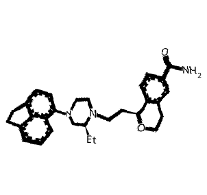 CC[C@H]1CN(c2ccc3c4c(cccc24)CC3)CCN1CC[C@@H]1OCCc2cc(C(N)=O)ccc21